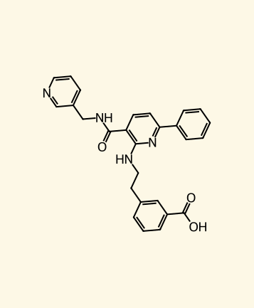 O=C(O)c1cccc(CCNc2nc(-c3ccccc3)ccc2C(=O)NCc2cccnc2)c1